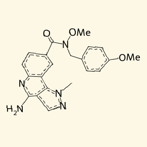 COc1ccc(CN(OC)C(=O)c2ccc3nc(N)c4cnn(C)c4c3c2)cc1